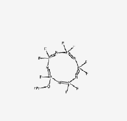 CCCOP1(F)=NP(F)(F)=NP(F)(F)=NP(F)(F)=NP(F)(F)=N1